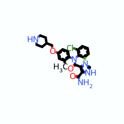 Cc1cc(OCC2CCNCC2)ccc1N(C(=O)c1nc[nH]c1C(N)=O)c1c(F)cccc1Cl